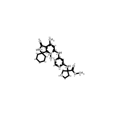 COC(=O)C1(Nc2cc(Nc3cc(C)c4c([n+]3[O-])C3(CCCCC3)NC4=O)ncn2)CCOC1